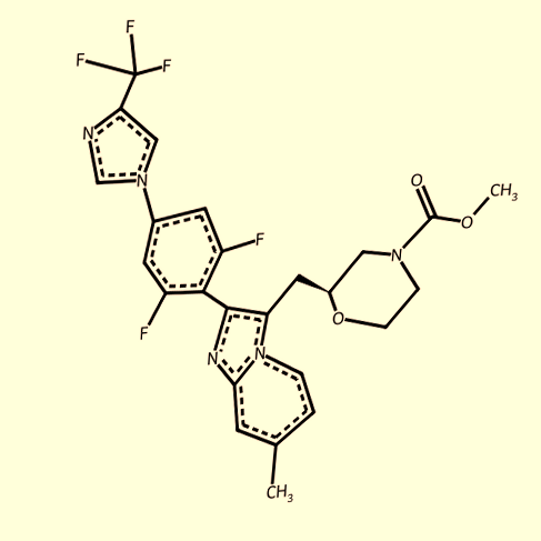 COC(=O)N1CCO[C@@H](Cc2c(-c3c(F)cc(-n4cnc(C(F)(F)F)c4)cc3F)nc3cc(C)ccn23)C1